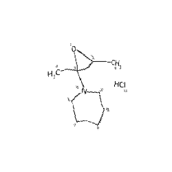 CC1OC1(C)N1CCCCC1.Cl